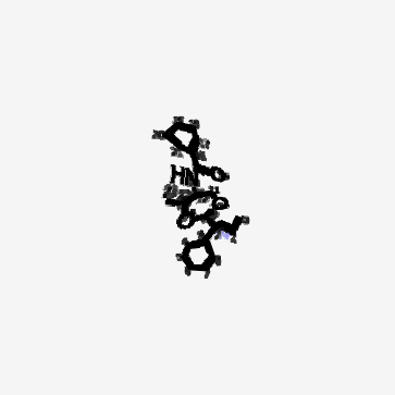 C/C=C(/c1ccccc1)[C@@H]1OC[C@@H](NC(=O)c2ccccc2)[C@H](C)O1